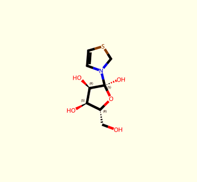 OC[C@H]1O[C@](O)(N2C=CSC2)[C@H](O)[C@@H]1O